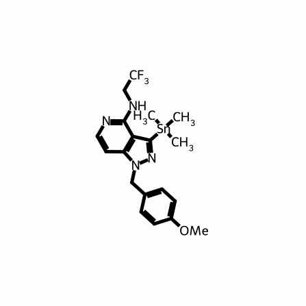 COc1ccc(Cn2n[c]([Sn]([CH3])([CH3])[CH3])c3c(NCC(F)(F)F)nccc32)cc1